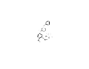 CN1C(=O)C(C)(C)C(C)(c2cc(NC3CCCN(Cc4ccccc4)C3)ccc2F)N=C1N